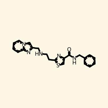 O=C(NCc1ccccc1)c1csc(CCNCc2cn3ccccc3n2)n1